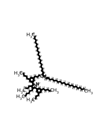 CCCCCCC1=C(c2cc(CCCC)cc(CCCCC)c2)[N+](=[N-])C(c2cc(CCCC)cc(CCCCC)c2)=C1CCCC.CCCCCCCCCCCCCCCCCCCC=[CH][Ni][CH]=CCCCCCCCCCCCCCCCCCCC